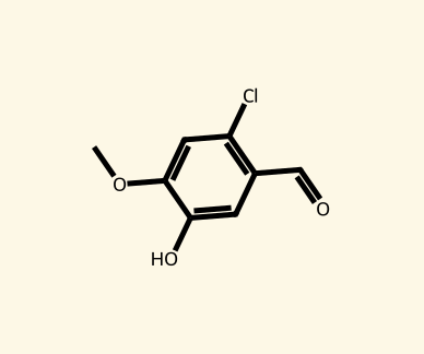 COc1cc(Cl)c(C=O)cc1O